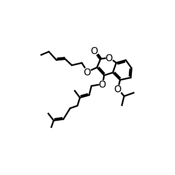 CC/C=C/CCOc1c(OC/C=C(\C)CCC=C(C)C)c2c(OC(C)C)cccc2oc1=O